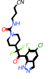 N#CCCCNC(=O)N1CCC(C(F)(F)C(=O)c2c(F)c(Cl)cc3cn[nH]c23)CC1